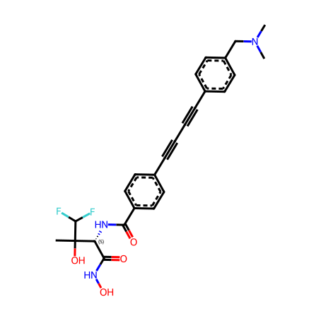 CN(C)Cc1ccc(C#CC#Cc2ccc(C(=O)N[C@H](C(=O)NO)C(C)(O)C(F)F)cc2)cc1